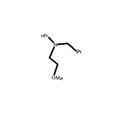 CCCN(CCOC)CC(C)C